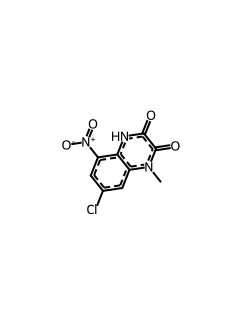 Cn1c(=O)c(=O)[nH]c2c([N+](=O)[O-])cc(Cl)cc21